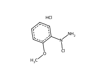 COc1ccccc1N(N)Cl.Cl